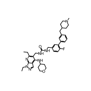 CCc1nc2c(cnn2CC)c(NC2CCOCC2)c1CNC(=O)NCc1ccc(F)c(-c2cccc(CC3CCN(C)CC3)c2)c1